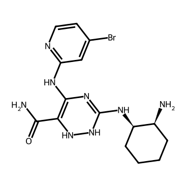 NC(=O)C1=C(Nc2cc(Br)ccn2)N=C(N[C@@H]2CCCC[C@@H]2N)NN1